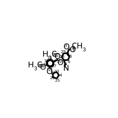 COC(=O)C1=CCC(C#N)(OC(OC)c2ccc(OC)c(OC3CCCC3)c2)CC1